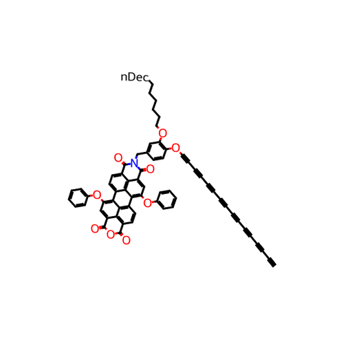 C#CC#CC#CC#CC#CC#CC#CC#COc1ccc(CN2C(=O)c3ccc4c5c(Oc6ccccc6)cc6c7c(ccc(c8c(Oc9ccccc9)cc(c3c48)C2=O)c75)C(=O)OC6=O)cc1OCCCCCCCCCCCCCCCC